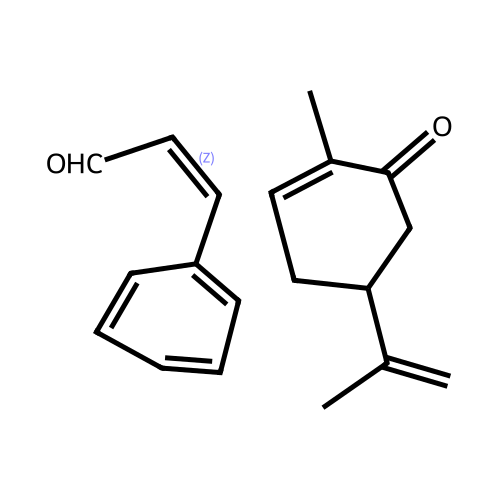 C=C(C)C1CC=C(C)C(=O)C1.O=C/C=C\c1ccccc1